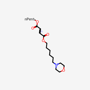 CCCCCOC(=O)/C=C/C(=O)OCCCCCCN1CCOCC1